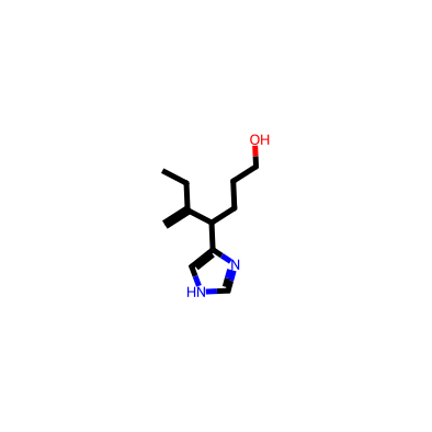 C=C(CC)C(CCCO)c1c[nH]cn1